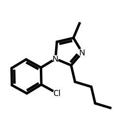 CCCCc1nc(C)cn1-c1ccccc1Cl